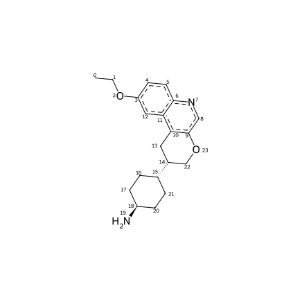 CCOc1ccc2ncc3c(c2c1)CC([C@H]1CC[C@H](N)CC1)CO3